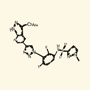 COc1n[nH]c2ncc(-c3cn(-c4c(F)ccc(NS(=O)(=O)c5ccn(C)n5)c4F)nn3)cc12